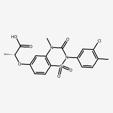 Cc1ccc(N2C(=O)N(C)c3cc(O[C@H](C)C(=O)O)ccc3S2(=O)=O)cc1Cl